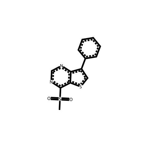 CS(=O)(=O)c1ncnc2c(-c3ccccc3)csc12